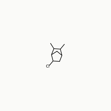 CC1C2CC(Cl)C(C2)C1C